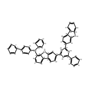 c1ccc(-c2ccc(N(c3ccccc3)c3cccc4c3oc3cc(-c5nc(-c6ccccc6)nc(-c6ccc7c(c6)sc6ccccc67)n5)ccc34)cc2)cc1